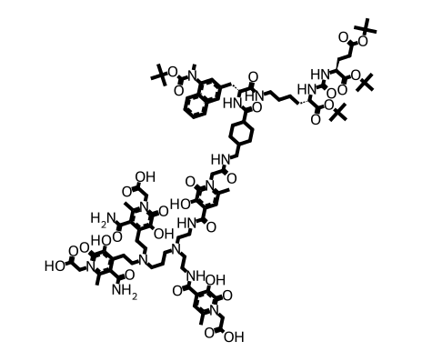 Cc1cc(C(=O)NCCN(CCCN(CCc2c(C(N)=O)c(C)n(CC(=O)O)c(=O)c2O)CCc2c(C(N)=O)c(C)n(CC(=O)O)c(=O)c2O)CCNC(=O)c2cc(C)n(CC(=O)NCC3CCC(C(=O)N[C@H](Cc4cc(N(C)C(=O)OC(C)(C)C)c5ccccc5c4)C(=O)NCCCC[C@H](NC(=O)N[C@@H](CCC(=O)OC(C)(C)C)C(=O)OC(C)(C)C)C(=O)OC(C)(C)C)CC3)c(=O)c2O)c(O)c(=O)n1CC(=O)O